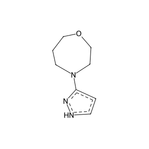 c1cc(N2CCCOCC2)n[nH]1